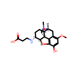 COc1cc(O)c2c3c1C[C@@H]1[C@@H]4CC[C@@H](NCCC(=O)O)[C@H](O2)[C@]34CCN1C